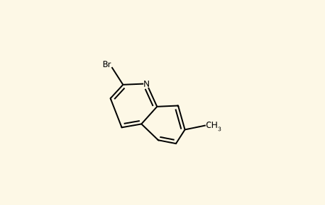 Cc1ccc2ccc(Br)nc2c1